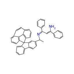 CC(/N=C(\C=C(/N)c1ccccc1)c1ccccc1)c1ccc2c(c1)C1(c3ccccc3-2)c2cccc3ccc4cccc1c4c23